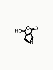 O=C1OC(O)c2ccncc21